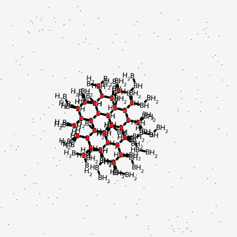 BBBB(BB)B(B(BB)BB)B(B(BB)B(BB)BB)B(B(B(BB)B(BB)BB)B(B(BB)B(BB)BB)B(BB)B(BB)BB)B(B(B(BB)B(BB)BB)B(B(BB)B(BB)BB)B(BB)B(BB)BB)B(B(B(BB)B(BB)BB)B(B(BB)B(BB)BB)B(BB)B(BB)BB)B(B(BB)B(BB)BB)B(B(BB)B(BB)BB)B(BB)B(BB)BB